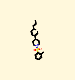 C/C=C(\C=C/C(C)/C=C/C)C1CCN(S(=O)(=O)c2ccccc2C)CC1